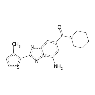 Cc1ccsc1-c1nc2cc(C(=O)N3CCCCC3)cc(N)n2n1